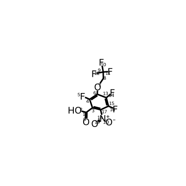 O=C(O)c1c(F)c(OCC(F)(F)F)c(F)c(F)c1[N+](=O)[O-]